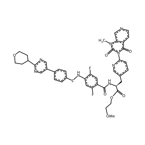 COCCOC(=O)[C@H](Cc1ccc(-n2c(=O)c3ccncc3n(C)c2=O)nc1)NC(=O)c1cc(F)c(NSc2ccc(-c3cnc(C4CCOCC4)nc3)cc2)cc1F